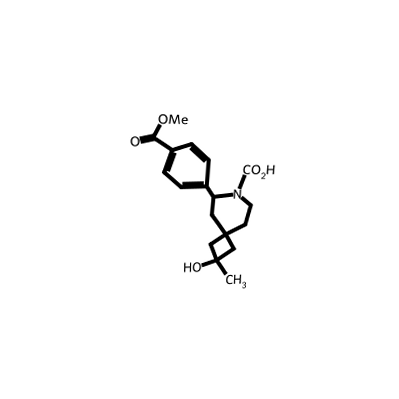 COC(=O)c1ccc(C2CC3(CCN2C(=O)O)CC(C)(O)C3)cc1